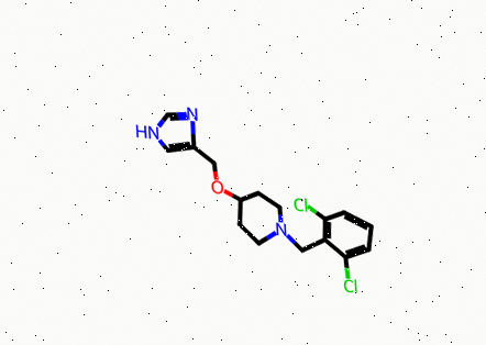 Clc1cccc(Cl)c1CN1CCC(OCc2c[nH]cn2)CC1